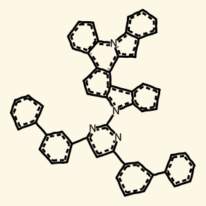 c1ccc(-c2cccc(-c3cc(-c4cccc(-c5ccccc5)c4)nc(-n4c5ccccc5c5c6c(ccc54)c4ccccc4n4c5ccccc5cc64)n3)c2)cc1